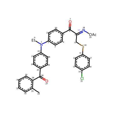 CCN(c1ccc(C(=O)/C(CSc2ccc(Cl)cc2)=N/OC(C)=O)cc1)c1ccc(C(=O)c2ccccc2C)cc1